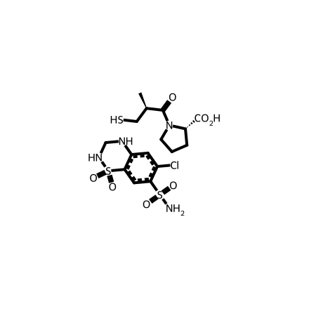 C[C@H](CS)C(=O)N1CCC[C@H]1C(=O)O.NS(=O)(=O)c1cc2c(cc1Cl)NCNS2(=O)=O